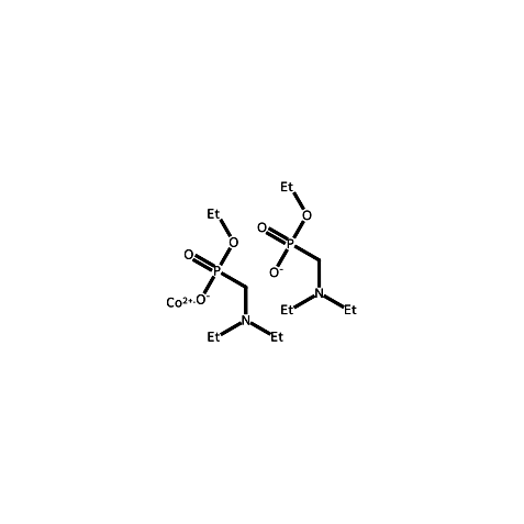 CCOP(=O)([O-])CN(CC)CC.CCOP(=O)([O-])CN(CC)CC.[Co+2]